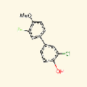 COc1ccc(-c2ccc(O)c(Cl)c2)cc1F